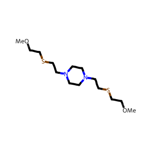 COCCSCCN1CCN(CCSCCOC)CC1